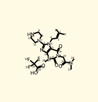 CC(C)=CCn1c(N2CCNCC2)nc2c1c(=O)n(CC(=O)N(C)C)c(=O)n2C.O=C(O)C(F)(F)F